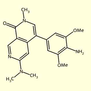 COc1cc(-c2cn(C)c(=O)c3cnc(N(C)C)cc23)cc(OC)c1N